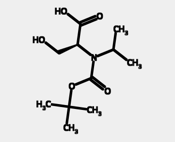 CC(C)N(C(=O)OC(C)(C)C)[C@@H](CO)C(=O)O